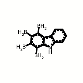 Bc1c(B)c(B)c2c([nH]c3ccccc32)c1B